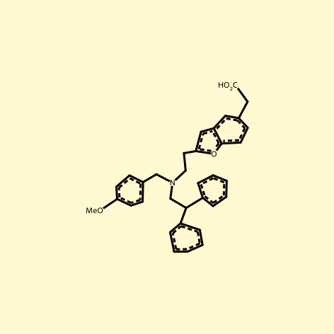 COc1ccc(CN(CCc2cc3cc(CC(=O)O)ccc3o2)CC(c2ccccc2)c2ccccc2)cc1